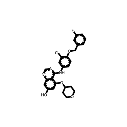 Oc1cc(OC2CCOCC2)c2c(Nc3ccc(OCc4cccc(F)c4)c(Cl)c3)ncnc2c1